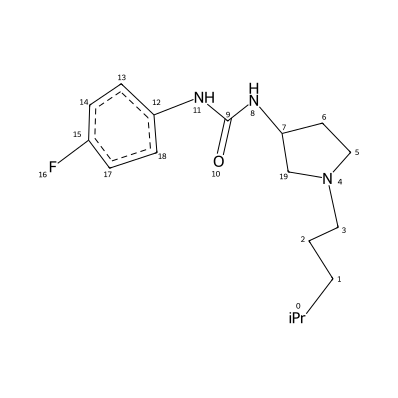 CC(C)CCCN1CCC(NC(=O)Nc2ccc(F)cc2)C1